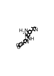 Cc1ccncc1-c1cc(N)c2nnc(Nc3ccc(N4CCS(=O)(=O)CC4)cn3)cc2c1